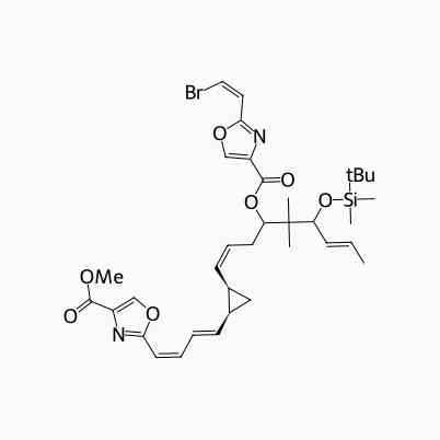 C/C=C/C(O[Si](C)(C)C(C)(C)C)C(C)(C)C(C/C=C\[C@H]1C[C@H]1/C=C/C=C\c1nc(C(=O)OC)co1)OC(=O)c1coc(/C=C\Br)n1